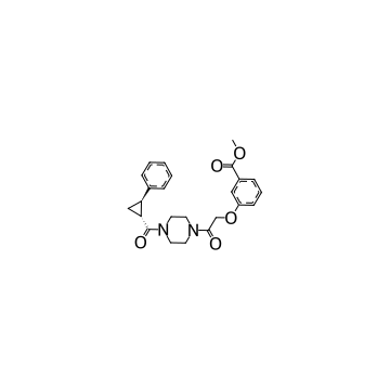 COC(=O)c1cccc(OCC(=O)N2CCN(C(=O)[C@@H]3C[C@H]3c3ccccc3)CC2)c1